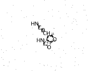 C.N=C=O.N=C=O.c1ccoc1